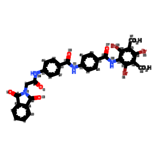 O=C(CN1C(=O)c2ccccc2C1=O)Nc1ccc(C(=O)Nc2ccc(C(=O)Nc3c(Br)c(C(=O)O)c(Br)c(C(=O)O)c3Br)cc2)cc1